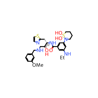 CCNc1cc(C(=O)N[C@@H](Cc2nccs2)[C@H](O)CNCc2cccc(OC)c2)cc(N2CCCCS2(O)O)c1